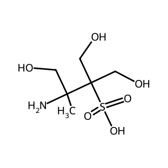 CC(N)(CO)C(CO)(CO)S(=O)(=O)O